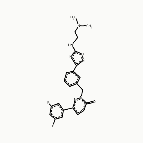 CN(C)CCNc1nc(-c2cccc(Cn3nc(-c4cc(F)cc(F)c4)ccc3=O)c2)no1